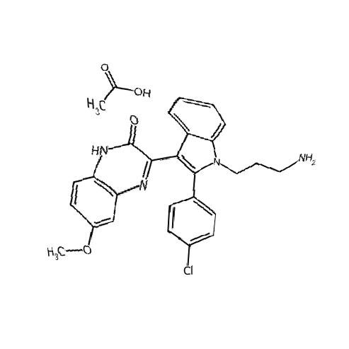 CC(=O)O.COc1ccc2[nH]c(=O)c(-c3c(-c4ccc(Cl)cc4)n(CCCN)c4ccccc34)nc2c1